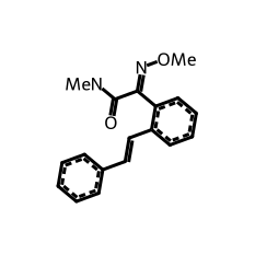 CNC(=O)/C(=N/OC)c1ccccc1C=Cc1ccccc1